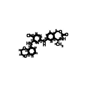 C[C@H]1NC(=O)OCc2ccc(Nc3ncc(Cl)c(Nc4cccc5c4OCCO5)n3)cc21